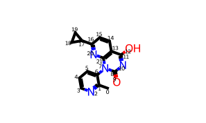 Cc1ncccc1-n1c(=O)nc(O)c2ccc(C3CC3)nc21